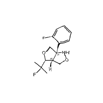 CC(C)(F)C1OC[C@]2(c3ccccc3F)NOC[C@H]12